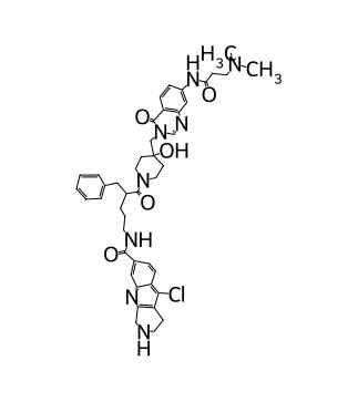 CN(C)CCC(=O)Nc1ccc2c(=O)n(CC3(O)CCN(C(=O)C(CCCNC(=O)c4ccc5c(Cl)c6c(nc5c4)CNCC6)Cc4ccccc4)CC3)cnc2c1